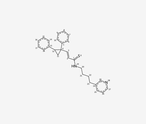 S=C(C=CC1(c2ccccc2)CC1c1ccccc1)NCCCCc1cccnc1